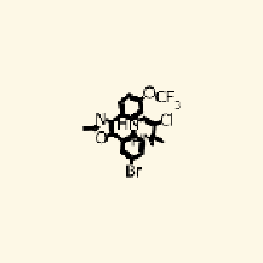 CC(=N)/C(Cl)=C\Nc1ccc(Br)cc1-c1oc(C)nc1-c1ccc(OC(F)(F)F)cc1